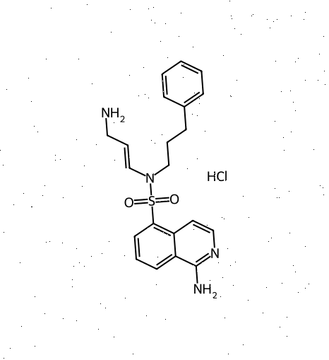 Cl.NCC=CN(CCCc1ccccc1)S(=O)(=O)c1cccc2c(N)nccc12